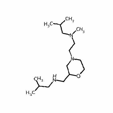 CC(C)CNCC1CN(CCN(C)CC(C)C)CCO1